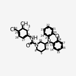 CC1CC(NC(=O)N2CCCC(N3c4ccccc4Oc4ccccc43)C2)=CC=C1Cl